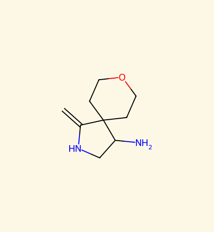 C=C1NCC(N)C12CCOCC2